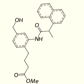 COC(=O)CCCc1ccc(CO)cc1NC(=O)C(C)c1cccc2ccccc12